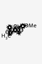 COc1ccc(CN2C(=O)C3(CCC3)c3cc(-c4cn(C)c(=O)n4-c4ccccc4)cc(O)c32)cc1